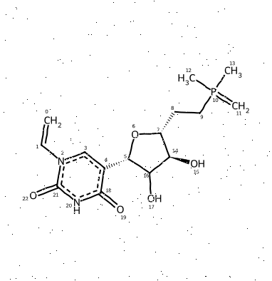 C=Cn1cc([C@@H]2O[C@H](CCP(=C)(C)C)[C@@H](O)C2O)c(=O)[nH]c1=O